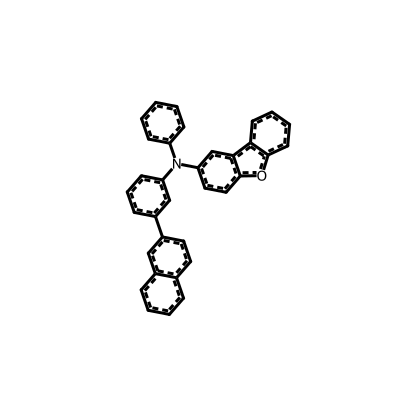 c1ccc(N(c2cccc(-c3ccc4ccccc4c3)c2)c2ccc3oc4ccccc4c3c2)cc1